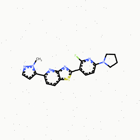 Cn1nccc1-c1ccc2sc(-c3ccc(N4CCCC4)nc3F)nc2n1